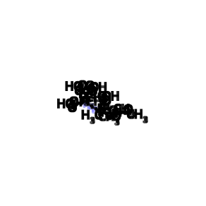 CC(=O)CCCN(C)S(=O)(=O)c1cccc2c3c(ccc12)[N+](CCCS(=O)(=O)O)=C(/C=C/C=C/C=C1/N(CCCS(=O)(=O)O)c2ccc4c(S(=O)(=O)O)cc(S(=O)(=O)O)cc4c2C1(C)C)C3(C)C